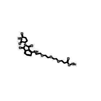 CC(C)(C)OC(=O)CCOCCOCCOCCNc1cccc2c1C(=O)N([C@H]1CCC(=O)NC1=O)C2=O